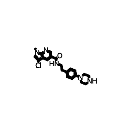 Cn1cc(Cl)c2cc(C(=O)NCCc3ccc(N4CCNCC4)cc3)cnc21